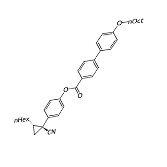 CCCCCCCCOc1ccc(-c2ccc(C(=O)Oc3ccc([C@]4(C#N)C[C@@H]4CCCCCC)cc3)cc2)cc1